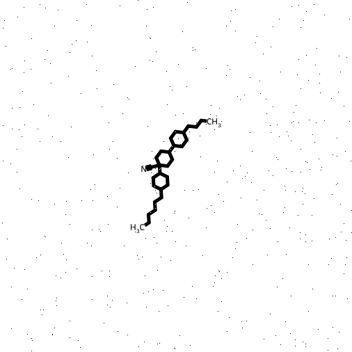 CCCCCCC1CCC(C2(C#N)CCC(C3CCC(CCCC)CC3)CC2)CC1